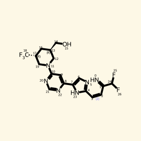 N=C(/C=C\c1ncc(-c2cc(N3C[C@H](CO)C[C@@H](C(F)(F)F)C3)ncn2)[nH]1)C(F)F